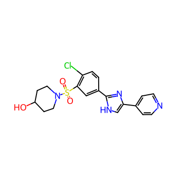 O=S(=O)(c1cc(-c2nc(-c3ccncc3)c[nH]2)ccc1Cl)N1CCC(O)CC1